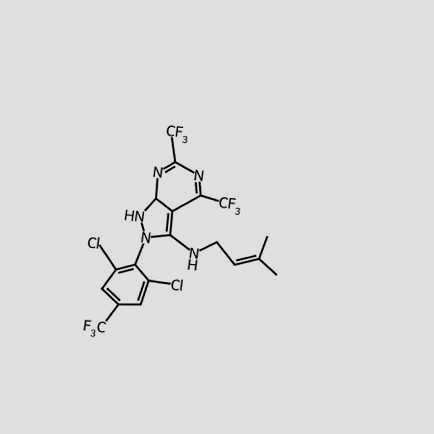 CC(C)=CCNC1=C2C(C(F)(F)F)=NC(C(F)(F)F)=NC2NN1c1c(Cl)cc(C(F)(F)F)cc1Cl